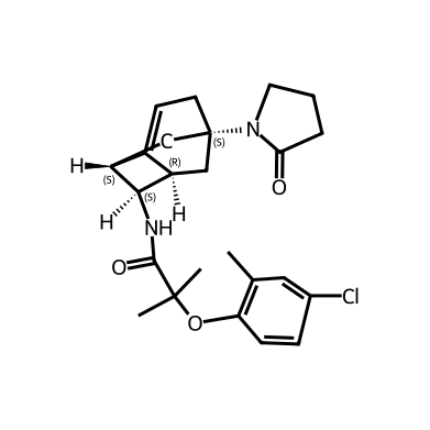 Cc1cc(Cl)ccc1OC(C)(C)C(=O)N[C@@H]1[C@@H]2C[C@]3(N4CCCC4=O)CC=C2[C@@H]1C3